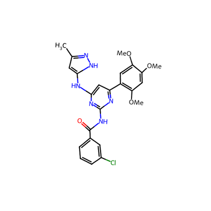 COc1cc(OC)c(-c2cc(Nc3cc(C)n[nH]3)nc(NC(=O)c3cccc(Cl)c3)n2)cc1OC